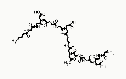 CCCCC(=O)NCC(=O)NCC(=O)N(CC(=O)O)CC(=O)NCC(=O)NCC(=O)N(CC(=O)O)CC(=O)NCCNC(=O)CN(CC(C)=O)C(=O)CNC(=O)CNC(=O)CN(CC(=O)O)C(=O)CNC(=O)CN